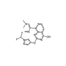 C=N/C(=C\N(C)C)c1nccc2c(O)nc(Oc3cnn(C(F)F)c3)nc12